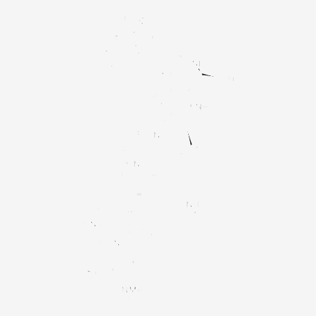 CC[C@H](C)[C@H](NC(=O)CC1C2CC3CC(C2)CC1C3)C(=O)N[C@@H](CCCCN)C(=O)N1CCN(c2ccc3ncn(CC(=O)NC)c(=O)c3c2)CC1